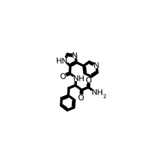 NC(=O)C(=O)C(Cc1ccccc1)NC(=O)c1[nH]cnc1-c1cccnc1